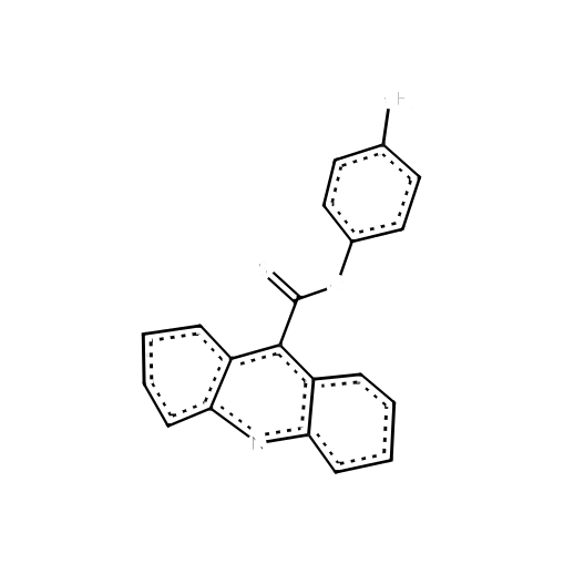 FC(F)(F)c1ccc(OC(=S)c2c3ccccc3nc3ccccc23)cc1